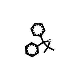 CC1(C)OC1(c1ccccc1)c1ccccc1